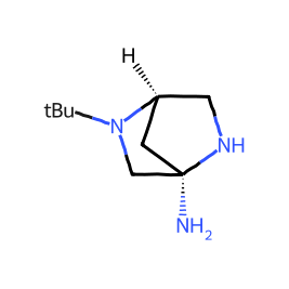 CC(C)(C)N1C[C@@]2(N)C[C@@H]1CN2